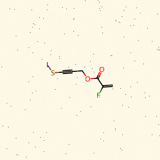 C=C(F)C(=O)OCC#CSI